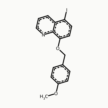 COc1ccc(COc2ccc(I)c3cccnc23)cc1